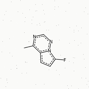 Cc1ncnn2c(F)ccc12